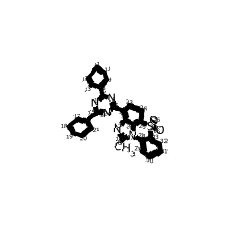 Cc1nc2c(-c3nc(-c4ccccc4)nc(-c4ccccc4)n3)ccc3c2n1-c1ccccc1S3(=O)=O